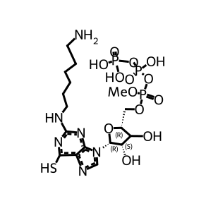 COP(=O)(OC[C@H]1O[C@@H](n2cnc3c(S)nc(NCCCCCCN)nc32)[C@@H](O)C1O)OP(=O)(O)OP(=O)(O)O